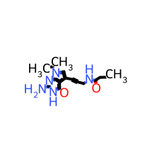 CCCC(=O)NCC#Cc1cn(C(C)C)c2nc(N)[nH]c(=O)c12